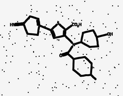 CC1CCC(C(=O)N(c2cc(C3=CCC(=N)CC3)sc2C(=O)O)C2CCC(O)CC2)CC1